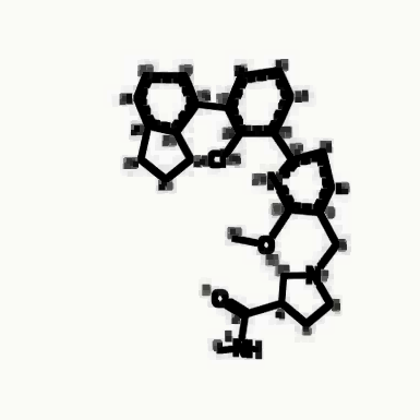 CNC(=O)C1CCN(Cc2ccc(-c3cccc(-c4cccc5c4CCC5)c3Cl)nc2OC)C1